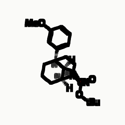 COc1cccc([C@@]23CCC[C@@H]([C@@H]2CC#N)N(C(=O)OC(C)(C)C)CC3)c1